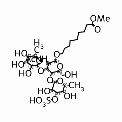 COC(=O)CCCCCCCCO[C@@H]1O[C@H](CO)[C@@H](O[C@@H]2O[C@H](C)[C@H](O)[C@H](OS(=O)(=O)O)[C@H]2O)[C@H](O[C@@H]2O[C@@H](C)[C@@H](O)[C@@H](O)[C@@H]2O)[C@H]1NC(C)=O